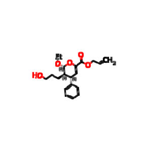 C=CCOC(=O)C1=C[C@H](c2ccccc2)[C@@H](CCCO)[C@H](OCC)O1